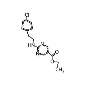 CCOC(=O)c1cnc(NCCc2ccc(Cl)cc2)nc1